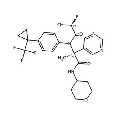 C[C@@](C(=O)NC1CCOCC1)(c1cncnc1)N(C(=O)[C@H](F)Cl)c1ccc(C2(C(F)(F)F)CC2)cc1